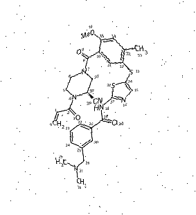 C=CC(=O)N1CCN(C(=O)c2cc(Sc3cnc(NC(=O)c4cccc(CN(C)C)c4)s3)c(C)cc2OC)C[C@H]1C#N